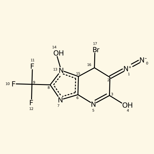 [N-]=[N+]=C1C(O)=Nc2nc(C(F)(F)F)n(O)c2C1Br